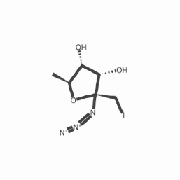 C[C@@H]1O[C@@](CI)(N=[N+]=[N-])[C@@H](O)[C@H]1O